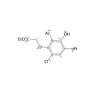 CCCc1cc(Cl)c(OCC(=O)OCC)c(C(C)=O)c1O